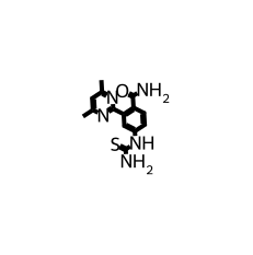 Cc1cc(C)nc(-c2cc(NC(N)=S)ccc2C(N)=O)n1